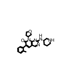 Cc1ccccc1-c1cc2cnc(N[C@H]3CCCNC3)nc2n([C@H]2CCOC2)c1=O